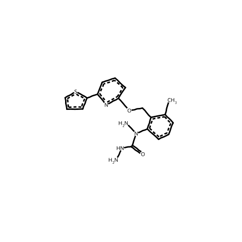 Cc1cccc(N(N)C(=O)NN)c1COc1cccc(-c2cccs2)n1